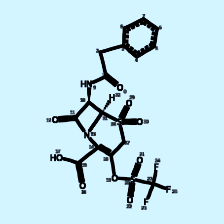 O=C(Cc1ccccc1)N[C@@H]1C(=O)N2C(C(=O)O)=C(OS(=O)(=O)C(F)(F)F)CS(=O)(=O)[C@H]12